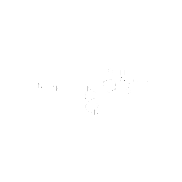 CCC[C@H](C)OC(=O)Nc1ccc(-c2nc([C@H]3CC[C@H](N4CCN(C)CC4)CC3)n3ccnc(C)c23)cc1OC